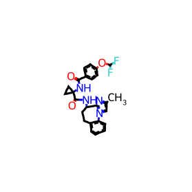 Cc1cn2c(n1)C(NC(=O)C1(NC(=O)c3ccc(OC(F)F)cc3)CC1)CCc1ccccc1-2